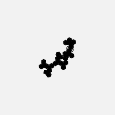 c1ccc(N(c2ccccc2)c2ccc(N(c3ccc(-c4ccc(N(c5ccc(N(c6ccccc6)c6cccc(-c7ccc8c(c7)cc(N(c7ccccc7)c7ccc9c(c7)Oc7ccc(N(c%10ccccc%10)c%10cc%11ccccc%11c%11ccccc%10%11)cc7O9)c7ccccc78)c6)cc5)c5ccc6c(c5)C5(CCCC5)c5ccccc5-6)cc4)cc3)c3ccc4c(c3)C3(CCCC3)c3ccccc3-4)cc2)cc1